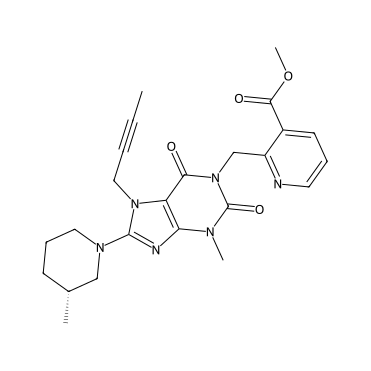 CC#CCn1c(N2CCC[C@@H](C)C2)nc2c1c(=O)n(Cc1ncccc1C(=O)OC)c(=O)n2C